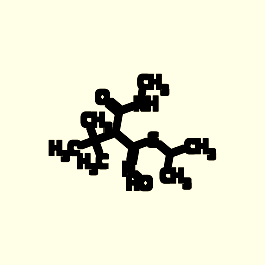 CNC(=O)C(C(=NO)SC(C)C)C(C)(C)C